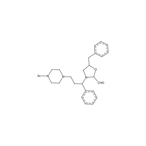 CC(=O)N1CCN(CCC(c2ccccc2)N2CC(Cc3ccccc3)OC2C=O)CC1